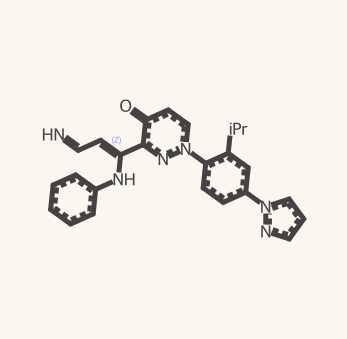 CC(C)c1cc(-n2cccn2)ccc1-n1ccc(=O)c(/C(=C/C=N)Nc2ccccc2)n1